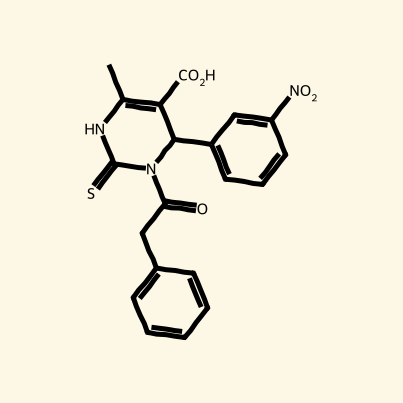 CC1=C(C(=O)O)C(c2cccc([N+](=O)[O-])c2)N(C(=O)Cc2ccccc2)C(=S)N1